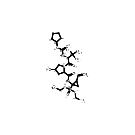 C=CC1CC1(NC(=O)C1C[C@@H](O)CN1C(=O)[C@@H](NC(=O)OC1CCCC1)C(C)(C)C)P(=O)(OCC)OCC